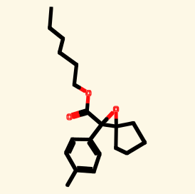 CCCCCCOC(=O)C1(c2ccc(C)cc2)OC12CCCC2